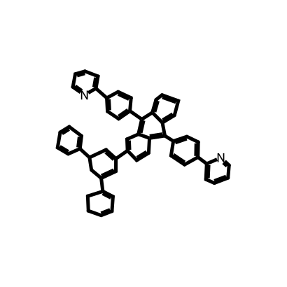 C1=CCCC(C2=CC(c3ccc4c(-c5ccc(-c6ccccn6)cc5)c5ccccc5c(-c5ccc(-c6ccccn6)cc5)c4c3)=CC(c3ccccc3)C2)=C1